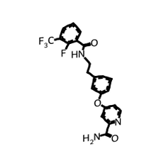 NC(=O)c1cc(Oc2cccc(CCNC(=O)c3cccc(C(F)(F)F)c3F)c2)ccn1